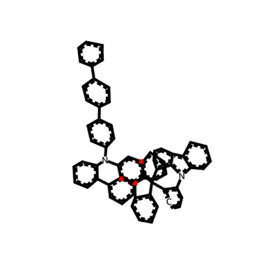 c1ccc(-c2ccc(-c3ccc(N(c4ccc5c(c4)-c4ccccc4C54c5ccccc5-n5c6ccccc6c6cccc4c65)c4ccccc4-c4cccc(-c5ccccc5)c4)cc3)cc2)cc1